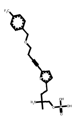 CC(N)(CCc1ccc(C#CCCOCc2ccc(C(F)(F)F)cc2)s1)COP(=O)(O)O